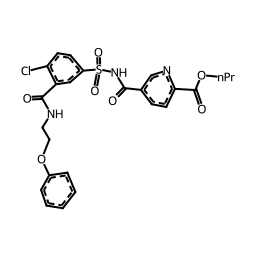 CCCOC(=O)c1ccc(C(=O)NS(=O)(=O)c2ccc(Cl)c(C(=O)NCCOc3ccccc3)c2)cn1